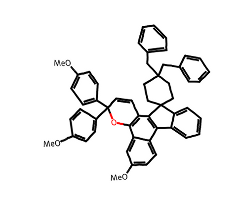 COc1ccc(C2(c3ccc(OC)cc3)C=Cc3c4c(c5ccc(OC)cc5c3O2)-c2ccccc2C42CCC(Cc3ccccc3)(Cc3ccccc3)CC2)cc1